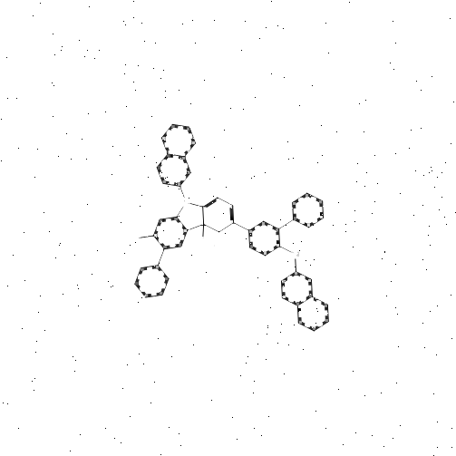 CC12CC(c3ccc(Nc4ccc5ccccc5c4)c(-c4ccccc4)c3)=CC=C1N(c1ccc3ccccc3c1)c1cc(O)c(-c3ccccc3)cc12